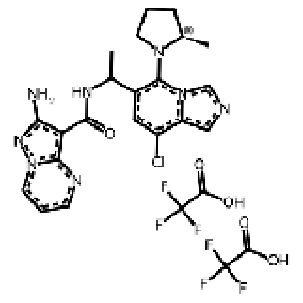 CC(NC(=O)c1c(N)nn2cccnc12)c1cc(Cl)c2cncn2c1N1CCC[C@H]1C.O=C(O)C(F)(F)F.O=C(O)C(F)(F)F